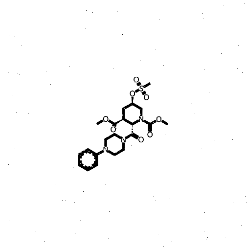 COC(=O)[C@H]1C[C@@H](OS(C)(=O)=O)CN(C(=O)OC)[C@@H]1C(=O)N1CCN(c2ccccc2)CC1